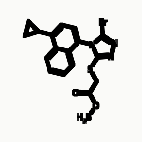 BOC(=O)CSc1nnc(Br)n1-c1ccc(C2CC2)c2ccccc12